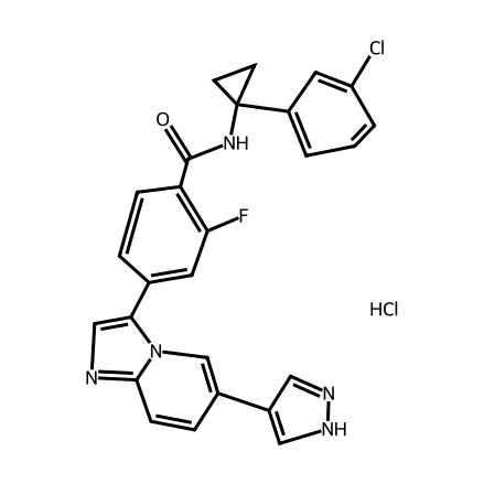 Cl.O=C(NC1(c2cccc(Cl)c2)CC1)c1ccc(-c2cnc3ccc(-c4cn[nH]c4)cn23)cc1F